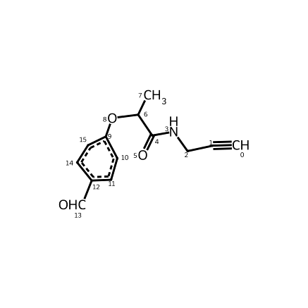 C#CCNC(=O)C(C)Oc1ccc(C=O)cc1